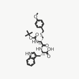 COc1ccc(CSC[C@@H](NC(=O)OC(C)(C)C)C(=O)N[C@@H](Cc2c[nH]c3ccccc23)C(=O)O)cc1